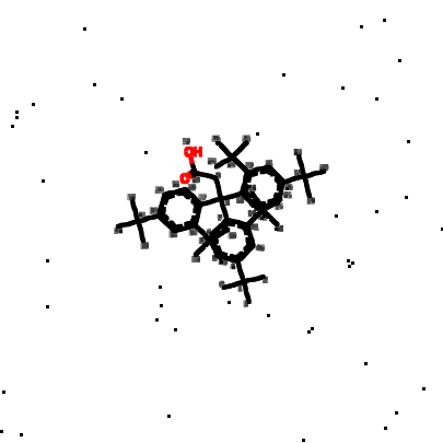 CC(C)(C)c1ccc(C(CC(=O)O)(c2ccc(C(C)(C)C)cc2C(C)(C)C)c2ccc(C(C)(C)C)cc2C(C)(C)C)c(C(C)(C)C)c1